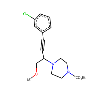 CCOCC(C#Cc1cccc(Cl)c1)N1CCN(C(=O)OCC)CC1